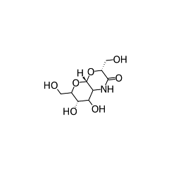 O=C1NC2C(O)[C@H](O)C(CO)O[C@@H]2O[C@@H]1CO